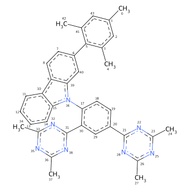 Cc1cc(C)c(-c2ccc3c4ccccc4n(-c4ccc(-c5nc(C)nc(C)n5)cc4-c4nc(C)nc(C)n4)c3c2)c(C)c1